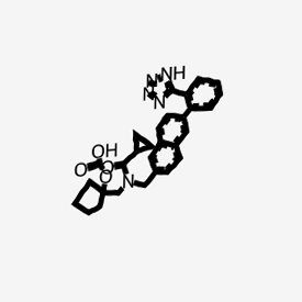 O=C(O)OC1(CN(Cc2ccc3cc(-c4ccccc4-c4nnn[nH]4)ccc3c2)C(=O)C2CC2)CCCC1